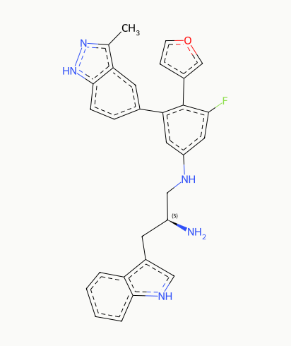 Cc1n[nH]c2ccc(-c3cc(NC[C@@H](N)Cc4c[nH]c5ccccc45)cc(F)c3-c3ccoc3)cc12